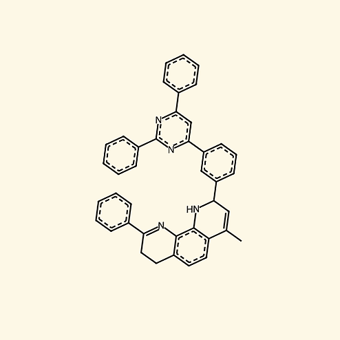 CC1=CC(c2cccc(-c3cc(-c4ccccc4)nc(-c4ccccc4)n3)c2)Nc2c1ccc1c2N=C(c2ccccc2)CC1